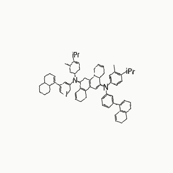 C/C=C(\C=C(/CI)N(C1CC2=C(C=C(N(c3cccc(C4=CCCC5=C4C=CCC5)c3)c3ccc(C(C)C)c(C)c3)C3CC=CCC23)C2=C1C=CCC2)[C@@H]1CC=C(C(C)C)C(C)C1)C1=CCCC2CCCCC12